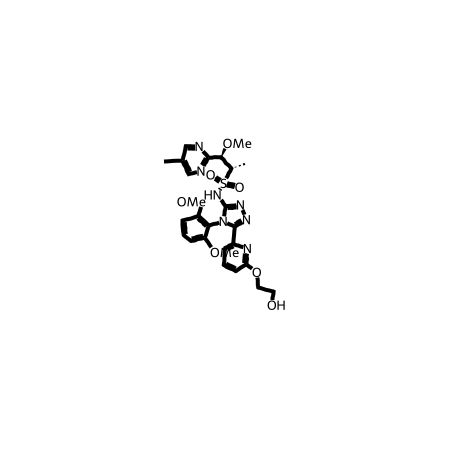 COc1cccc(OC)c1-n1c(NS(=O)(=O)[C@@H](C)[C@H](OC)c2ncc(C)cn2)nnc1-c1cccc(OCCO)n1